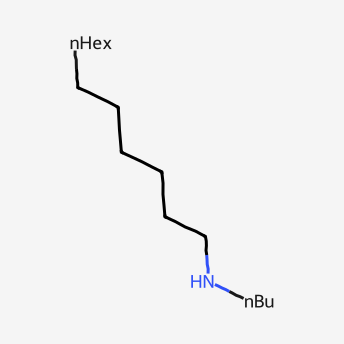 [CH2]CCCNCCCCCCCCCCCC